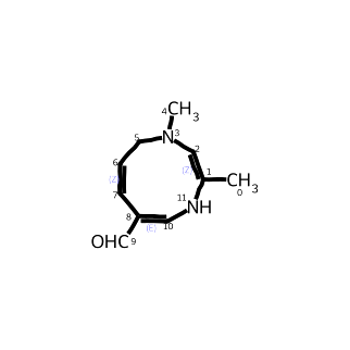 C/C1=C/N(C)C/C=C\C(C=O)=C/N1